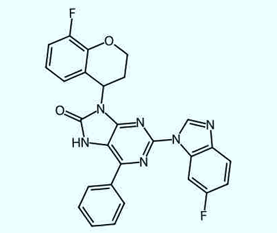 O=c1[nH]c2c(-c3ccccc3)nc(-n3cnc4ccc(F)cc43)nc2n1C1CCOc2c(F)cccc21